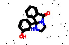 O=C1c2ccccc2C2(c3cccc(O)c3)NCCN12